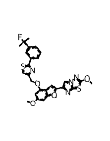 COc1cc(OCc2csc(-c3cccc(C(C)(C)F)c3)n2)c2cc(-c3cn4nc(OC)sc4n3)oc2c1